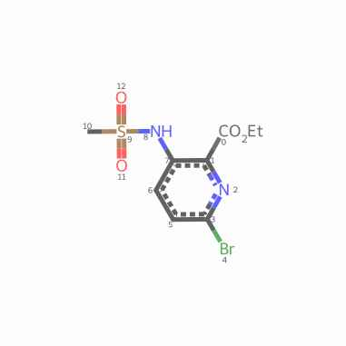 CCOC(=O)c1nc(Br)ccc1NS(C)(=O)=O